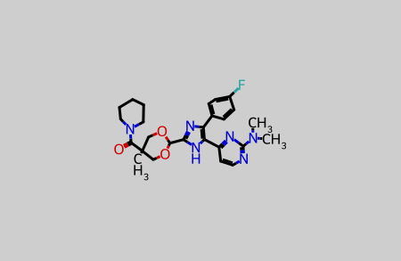 CN(C)c1nccc(-c2[nH]c(C3OCC(C)(C(=O)N4CCCCC4)CO3)nc2-c2ccc(F)cc2)n1